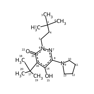 CC(C)(C)CCn1nc(N2CCCC2)c(O)c(C(C)(C)C)c1=O